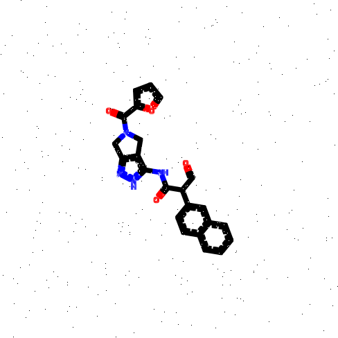 O=CC(C(=O)Nc1[nH]nc2c1CN(C(=O)c1ccco1)C2)c1ccc2ccccc2c1